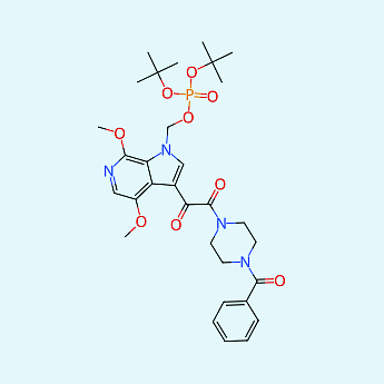 COc1cnc(OC)c2c1c(C(=O)C(=O)N1CCN(C(=O)c3ccccc3)CC1)cn2COP(=O)(OC(C)(C)C)OC(C)(C)C